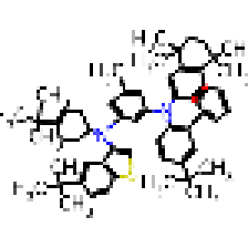 Cc1cc(N(c2ccc3c(c2)C(C)(C)CCC3(C)C)c2ccc(C(C)(C)C)cc2-c2ccccc2)cc(N(c2csc3ccc(C(C)(C)C)cc23)C2CC=C(C(C)(C)C)CC2)c1